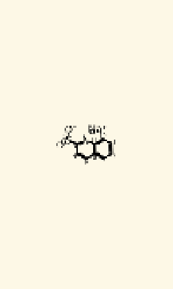 O=S([O-])c1ccc2ccccc2n1.[Na+]